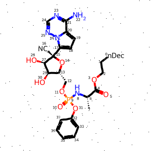 CCCCCCCCCCCCOC(=O)[C@H](C)NP(=O)(OC[C@H]1O[C@@](C#N)(c2ccc3c(N)ncnn23)[C@H](O)[C@@H]1O)Oc1ccccc1